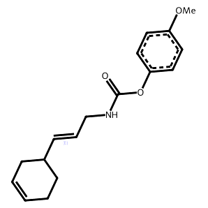 COc1ccc(OC(=O)NC/C=C/C2CC=CCC2)cc1